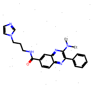 CCN(CC)c1nc2cc(C(=O)NCCCn3ccnc3)ccc2nc1-c1ccccc1